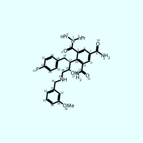 CCCN(CCC)C(=O)c1cc(C(N)=O)cc(C(N)=O)c1[C@H](Cc1ccc(F)cc1)[C@@H](O)CNCc1cccc(OC)c1